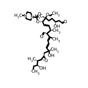 CCO[C@](C)(CC[C@@H](O)CC=O)[C@H](/C=C/[C@H](C)[C@H](C=O)/C(C)=C/C=C/[C@](C)(O)C[C@H]1O[C@@H]1[C@@H](C)[C@@H](O)CC)OC(=O)N1CCN(C)CC1